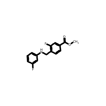 COC(=O)c1ccc(CNc2cccc(F)c2)c(F)c1